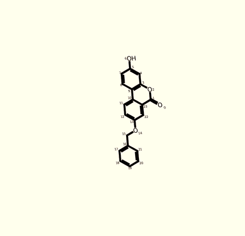 O=c1oc2cc(O)ccc2c2ccc(OCc3ccccc3)cc12